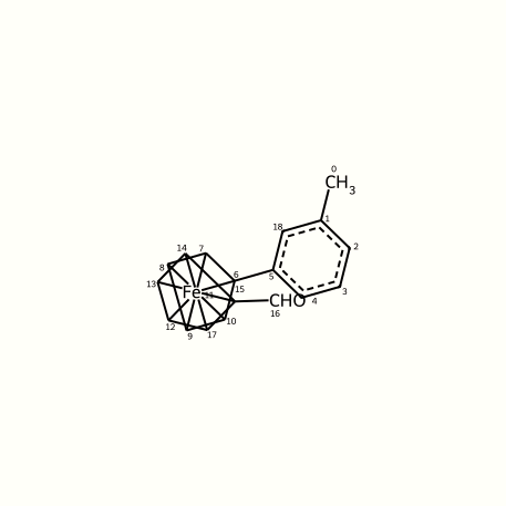 Cc1cccc([C]23[CH]4[CH]5[CH]6[CH]2[Fe]56432789[CH]3[CH]2[CH]7[C]8(C=O)[CH]39)c1